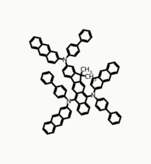 CC1(C)c2cc(N(c3ccc(-c4ccccc4)cc3)c3ccc4cc5ccccc5cc4c3)ccc2-c2cc3c(N(c4ccc(-c5ccccc5)cc4)c4ccc5cc6ccccc6cc5c4)c4ccccc4c(N(c4ccc(-c5ccccc5)cc4)c4ccc5cc6ccccc6cc5c4)c3cc21